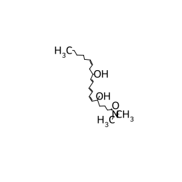 CCCCC/C=C\C[C@@H](O)/C=C/C=C/C=C\[C@@H](O)CCCC(=O)N(C)C